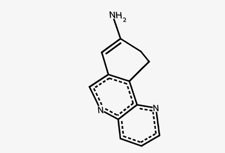 NC1=Cc2cnc3cccnc3c2CC1